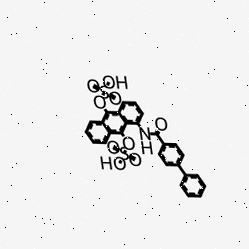 O=C(Nc1cccc2c(OS(=O)(=O)O)c3ccccc3c(OS(=O)(=O)O)c12)c1ccc(-c2ccccc2)cc1